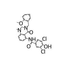 COc1ccccc1CN1CN(C)c2cccc(NC(=O)c3cc(Cl)c(O)c(Cl)c3)c2C1=O